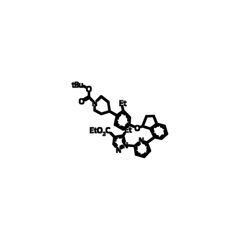 CCOC(=O)c1cnn(-c2cccc(-c3cccc4c3C(Oc3ccc(C5CCN(C(=O)OC(C)(C)C)CC5)c(CC)c3)CC4)n2)c1CC